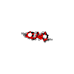 CO[C@@H]1/C=C/C=C(\C)Cc2cc(C)c(Cl)c(c2)N(C)C(=O)C[C@H](OOC(=O)[C@H](C)N(C)C(=O)CCN(C(=O)CCN2C(=O)C=CC2=O)N(CCC(=O)N(C)[C@@H](C)C(=O)O[C@H]2CC(=O)N(C)c3cc(cc(C)c3Cl)C/C(C)=C/C=C/[C@@H](OC)[C@@]3(O)CC(OC(=O)N3)[C@@H](C)[C@H]3O[C@@]23C)C(=O)CCN2C(=O)C=CC2=O)[C@]2(C)O[C@@H]2[C@H](C)C2C[C@@]1(O)NC(=O)O2